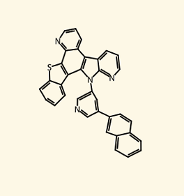 c1ccc2cc(-c3cncc(-n4c5ncccc5c5c6cccnc6c6sc7ccccc7c6c54)c3)ccc2c1